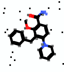 COc1c(C(N)=O)ccc(N2C=CC=CC2)c1Cc1ccccc1